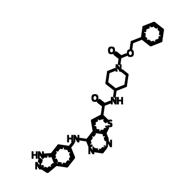 O=C(NC1CCN(C(=O)OCc2ccccc2)CC1)c1cc2c(Nc3ccc4cn[nH]c4c3)ncnc2s1